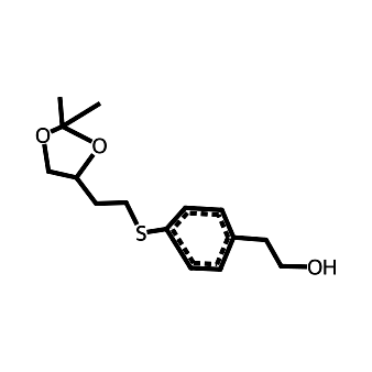 CC1(C)OCC(CCSc2ccc(CCO)cc2)O1